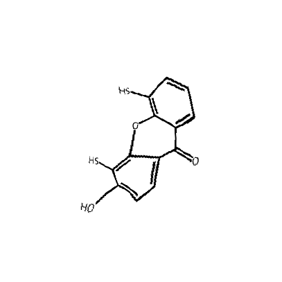 O=c1c2cccc(S)c2oc2c(S)c(O)ccc12